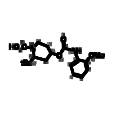 COc1ccccc1NC(=O)OC1CCN(C(=O)O)C(C(C)(C)C)C1